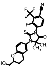 CC1(C)C(=O)N(c2ccc(C#N)c(C(F)(F)F)c2F)C(=S)N1c1ccc2c(c1)CCC(CO)O2